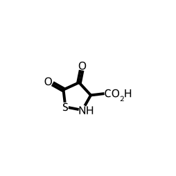 O=C1SNC(C(=O)O)C1=O